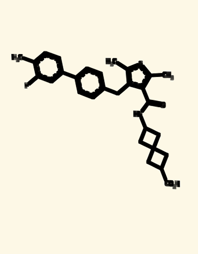 Cc1ccc(-c2ccc(Cc3c(C)sc(C)c3C(=O)NC3CC4(C3)CC(C(=O)O)C4)cc2)cc1F